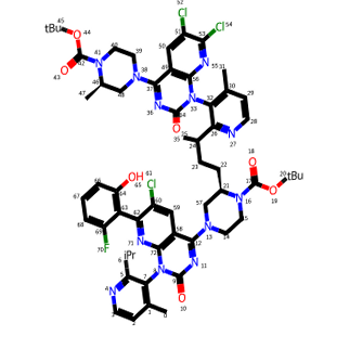 Cc1ccnc(C(C)C)c1-n1c(=O)nc(N2CCN(C(=O)OC(C)(C)C)[C@H](CCC(C)c3nccc(C)c3-n3c(=O)nc(N4CCN(C(=O)OC(C)(C)C)[C@H](C)C4)c4cc(Cl)c(Cl)nc43)C2)c2cc(Cl)c(-c3c(O)cccc3F)nc21